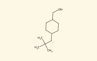 CC(C)(C)CC1CCC(CO)CC1